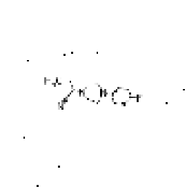 CCC(C#N)N1CCN(c2ccc(F)cc2)CC1